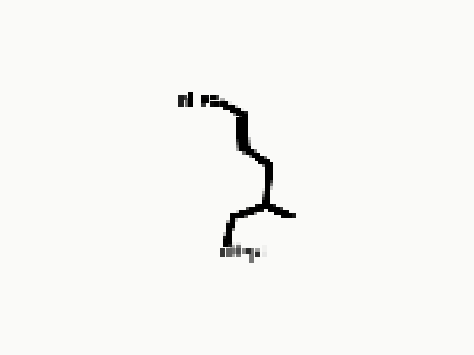 [CH2]CCCCC/C=C/CC(C)CCCCCCC[CH2]